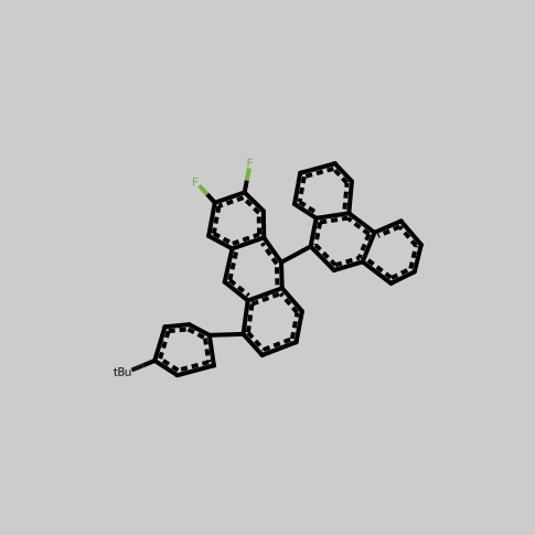 CC(C)(C)c1ccc(-c2cccc3c(-c4cc5ccccc5c5ccccc45)c4cc(F)c(F)cc4cc23)cc1